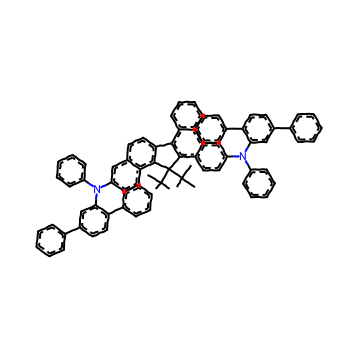 CC(C)(C)C1(C(C)(C)C)c2c(ccc3cc(N(c4ccccc4)c4cc(-c5ccccc5)ccc4-c4ccccc4)ccc23)-c2c1c1ccc(N(c3ccccc3)c3cc(-c4ccccc4)ccc3-c3ccccc3)cc1c1ccccc21